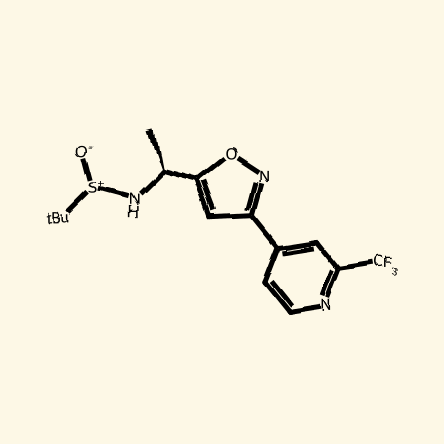 C[C@H](N[S+]([O-])C(C)(C)C)c1cc(-c2ccnc(C(F)(F)F)c2)no1